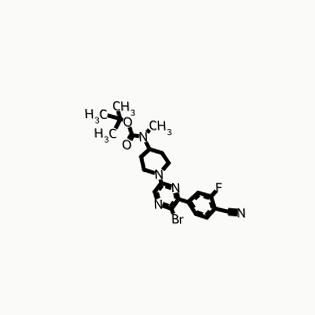 CN(C(=O)OC(C)(C)C)C1CCN(c2cnc(Br)c(-c3ccc(C#N)c(F)c3)n2)CC1